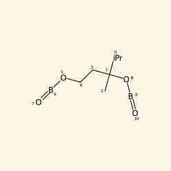 CC(C)C(C)(CCOB=O)OB=O